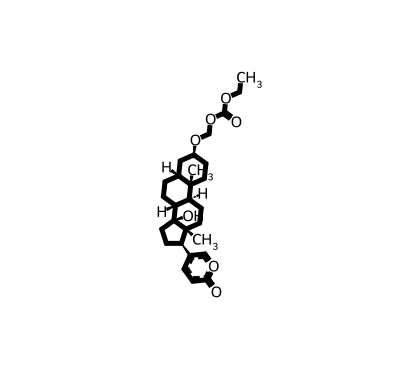 CCOC(=O)OCO[C@H]1CC[C@@]2(C)[C@H](CC[C@@H]3[C@@H]2CC[C@]2(C)[C@@H](c4ccc(=O)oc4)CC[C@]32O)C1